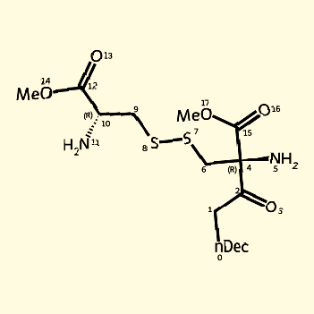 CCCCCCCCCCCC(=O)[C@](N)(CSSC[C@H](N)C(=O)OC)C(=O)OC